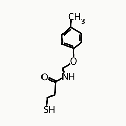 Cc1ccc(OCNC(=O)CCS)cc1